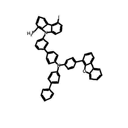 Pc1cccc2c3c(I)cccc3n(-c3cccc(-c4ccc(N(c5ccc(-c6ccccc6)cc5)c5ccc(-c6cccc7c6oc6ccccc67)cc5)cc4)c3)c12